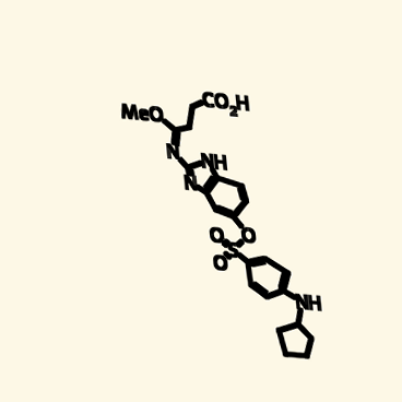 COC(CCC(=O)O)=Nc1nc2cc(OS(=O)(=O)c3ccc(NC4CCCC4)cc3)ccc2[nH]1